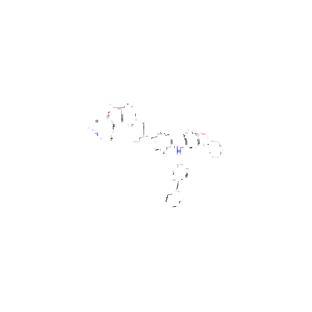 c1ccc(-c2ccc(N(c3ccc(-c4ccc5c(ccc6oc7cnccc7c65)c4)cc3)c3ccc4oc5ccccc5c4c3)cc2)cc1